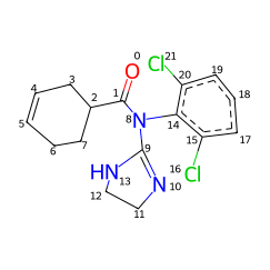 O=C(C1CC=CCC1)N(C1=NCCN1)c1c(Cl)cccc1Cl